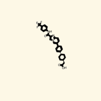 O=C(O)C[C@H]1CC[C@H](c2ccc(-c3ccc4nc(C(=O)Nc5ccc(C(F)(F)F)cc5)cn4c3)cc2)CC1